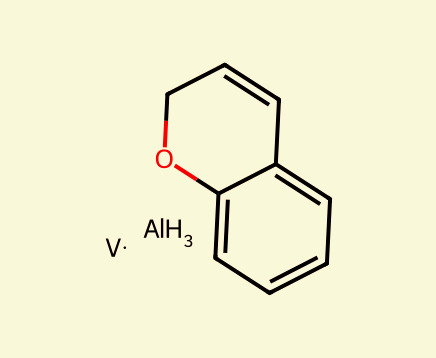 C1=Cc2ccccc2OC1.[AlH3].[V]